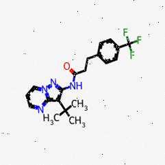 CC(C)(C)c1c(NC(=O)CCc2ccc(C(F)(F)F)cc2)nn2cccnc12